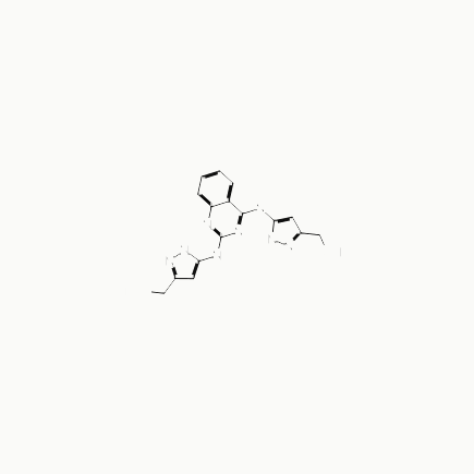 CCc1cc(Nc2nc(Nc3cc(CC)n[nH]3)c3ccccc3n2)[nH]n1